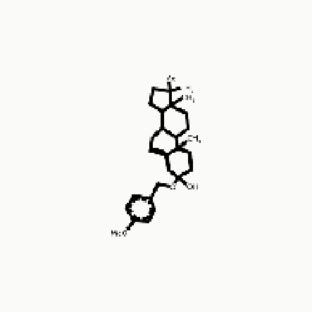 COc1ccc(COC2(O)CCC3(C)C(=CCC4C3CCC3(C)C4CCC3(C)C(C)=O)C2)cc1